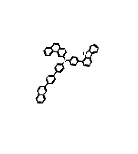 c1ccc2cc(-c3ccc(-c4ccc(N(c5ccc(-c6cccc7c6oc6ccccc67)cc5)c5ccc6ccc7ccccc7c6c5)cc4)cc3)ccc2c1